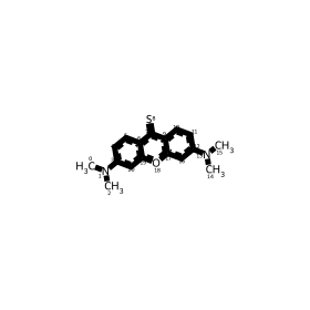 CN(C)c1ccc2c(=S)c3ccc(N(C)C)cc3oc2c1